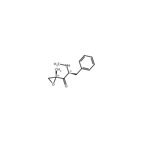 CN[C@@H](Cc1ccccc1)C(=O)[C@@]1(C)CO1